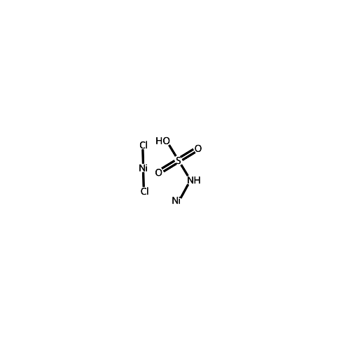 O=S(=O)(O)[NH][Ni].[Cl][Ni][Cl]